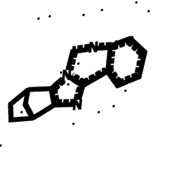 c1ccc2c(c1)ncn1c3c(nc21)C1CCC3C1